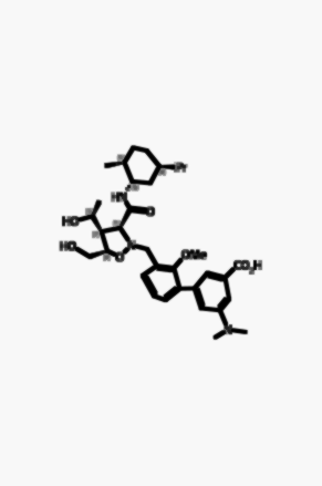 COc1c(CN2O[C@@H](CO)[C@@H]([C@H](C)O)[C@H]2C(=O)N[C@H]2C[C@H](C(C)C)CC[C@@H]2C)cccc1-c1cc(C(=O)O)cc(N(C)C)c1